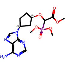 COC(=O)C(O[C@@H]1CC[C@H](n2cnc3c(N)ncnc32)C1)P(=O)(OC)OC